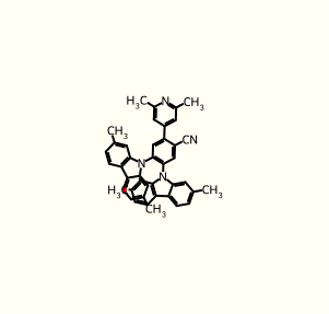 Cc1ccc2c3ccc(C)cc3n(-c3cc(C#N)c(-c4cc(C)nc(C)c4)cc3-n3c4cc(C)ccc4c4ccc(C)cc43)c2c1